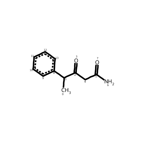 CC(C(=O)CC(N)=O)c1ccccc1